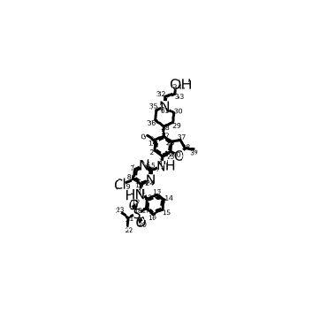 Cc1cc(Nc2ncc(Cl)c(Nc3ccccc3S(=O)(=O)C(C)C)n2)c2c(c1C1CCN(CCO)CC1)CC(C)O2